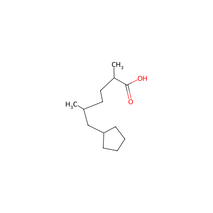 CC(CCC(C)C(=O)O)CC1CCCC1